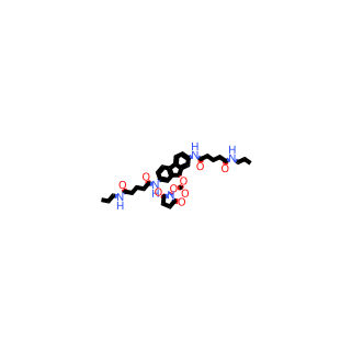 CCCNC(=O)CCCC(=O)Nc1ccc2c(c1)C(OC(=O)ON1C(=O)CCC1=O)c1cc(NC(=O)CCCC(=O)NCCC)ccc1-2